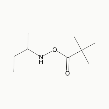 CCC(C)NOC(=O)C(C)(C)C